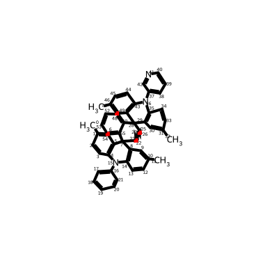 Cc1ccc2c(c1)C1(c3cc(C)ccc3N2c2ccccc2)c2ccccc2C2(c3cc(C)ccc3N(c3cccnc3)c3ccc(C)cc32)c2ccccc21